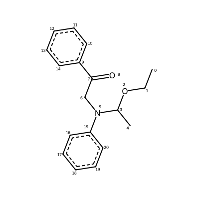 CCOC(C)N(CC(=O)c1ccccc1)c1ccccc1